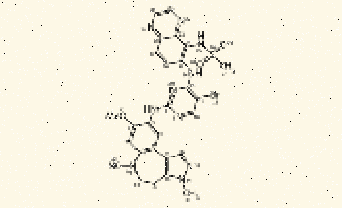 COc1cc2c(cc1Nc1ncc(Br)c(Nc3ccc4nccnc4c3NS(C)(=O)=O)n1)-c1cnn(C)c1CCN2C#N